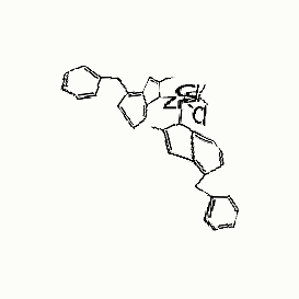 CC1=Cc2c(Cc3ccccc3)cccc2[CH]1[Zr]([Cl])([Cl])([CH]1C(C)=Cc2c(Cc3ccccc3)cccc21)=[Si](C)C